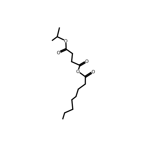 CCCCCCCC(=O)OC(=O)CCC(=O)OC(C)C